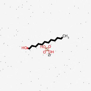 CCCCCCCCCCCCO.O=S(=O)(O)O.[Zr]